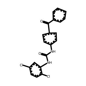 O=C(Nc1ccc(C(=O)c2ccccc2)cc1)Nc1cc(Cl)ccc1Cl